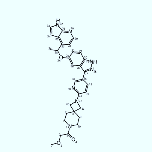 COCC(=O)N1CCC2(CC1)CN(c1ccc(-c3n[nH]c4ccc(OC(C)c5ccnc6[nH]ccc56)cc34)cn1)C2